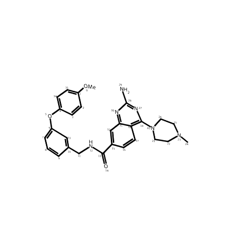 COc1ccc(Oc2cccc(CNC(=O)c3ccc4c(N5CCN(C)CC5)nc(N)nc4c3)c2)cc1